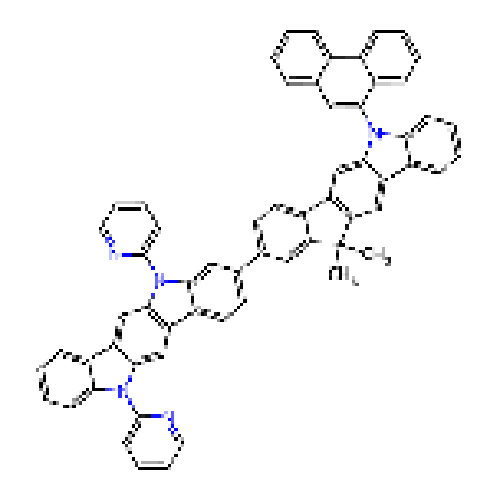 CC1(C)c2cc(-c3ccc4c5cc6c(cc5n(-c5ccccn5)c4c3)c3ccccc3n6-c3ccccn3)ccc2-c2cc3c(cc21)c1ccccc1n3-c1cc2ccccc2c2ccccc12